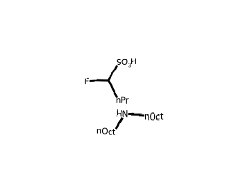 CCCC(F)S(=O)(=O)O.CCCCCCCCNCCCCCCCC